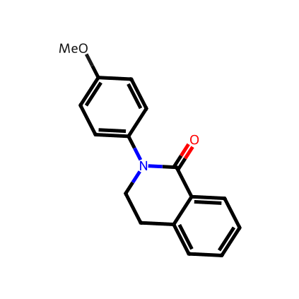 COc1ccc(N2CCc3ccccc3C2=O)cc1